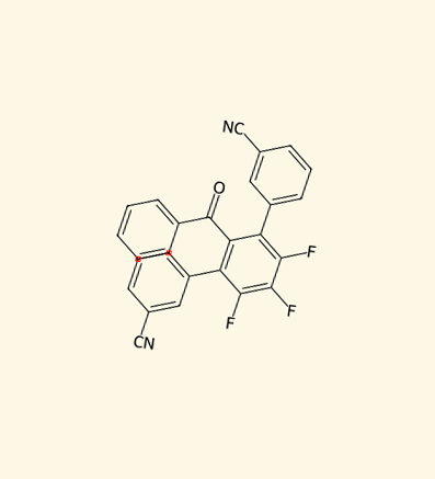 N#Cc1cccc(-c2c(F)c(F)c(F)c(-c3cccc(C#N)c3)c2C(=O)c2ccccc2)c1